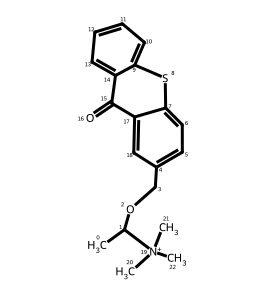 CC(OCc1ccc2sc3ccccc3c(=O)c2c1)[N+](C)(C)C